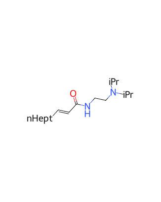 CCCCCCCC=CC(=O)NCCN(C(C)C)C(C)C